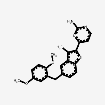 COc1ccc(OC)c(Cc2ccc3sc(-c4ccnc(N)n4)c(C)c3c2)c1